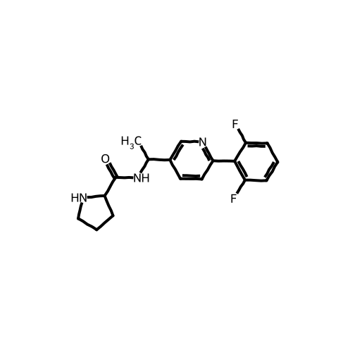 CC(NC(=O)C1CCCN1)c1ccc(-c2c(F)cccc2F)nc1